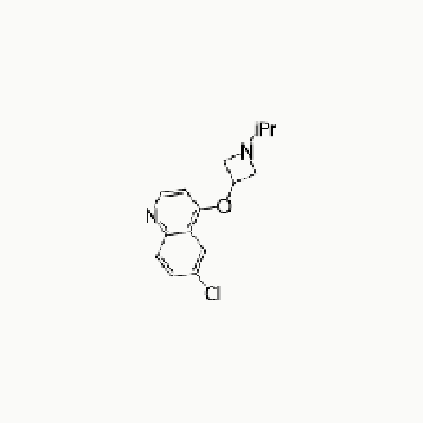 CC(C)N1CC(Oc2ccnc3ccc(Cl)cc23)C1